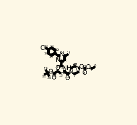 CCOC(=O)ON1CCN(C(=O)[C@H](CCC(=O)OC(C)(C)C)NC(=O)c2cc(C)nc(-c3ccc(Cl)cc3)n2)CC1